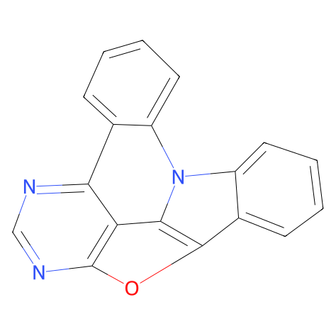 c1ccc2c(c1)c1ncnc3oc4c5ccccc5n2c4c31